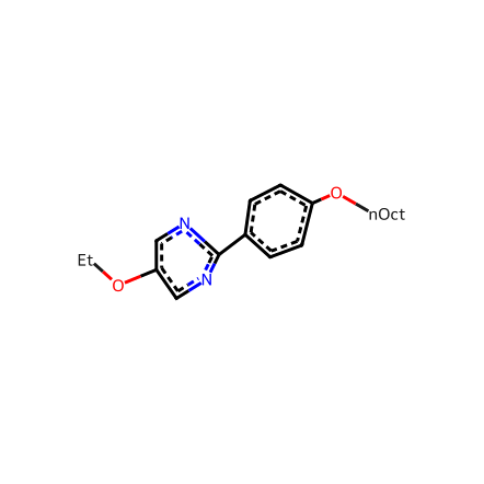 CCCCCCCCOc1ccc(-c2ncc(OCC)cn2)cc1